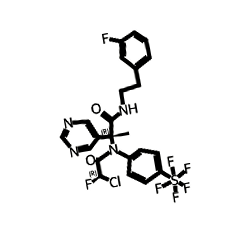 C[C@](C(=O)NCCc1cccc(F)c1)(c1cncnc1)N(C(=O)[C@H](F)Cl)c1ccc(S(F)(F)(F)(F)F)cc1